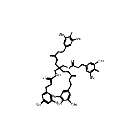 C=C(CCc1cc(C(C)(C)C)c(C)c(C(C)(C)C)c1)CCC(CCC(=C)CCc1cc(C(C)(C)C)c(O)c(C(C)(C)C)c1)(CNC(=O)CCc1cc(C(C)(C)C)cc(C(C)(C)C)c1)COC(=O)CCc1cc(C(C)(C)C)c(C)c(C(C)(C)C)c1